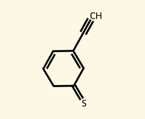 C#CC1=CC(=S)CC=C1